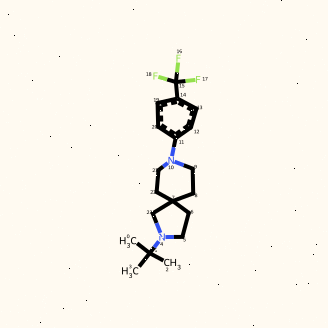 CC(C)(C)N1CCC2(CCN(c3ccc(C(F)(F)F)cc3)CC2)C1